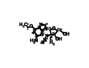 CCOc1nc(N)nc2c1ncn2[C@@H]1O[C@H](CO)[C@@H](O)[C@@]1(C)N=[N+]=[N-]